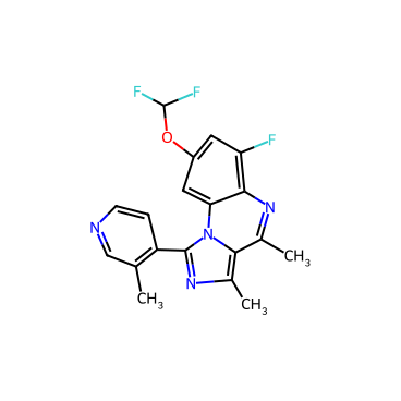 Cc1cnccc1-c1nc(C)c2c(C)nc3c(F)cc(OC(F)F)cc3n12